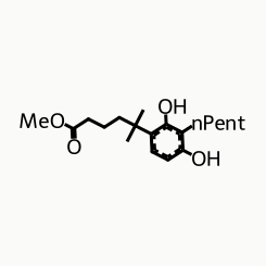 CCCCCc1c(O)ccc(C(C)(C)CCCC(=O)OC)c1O